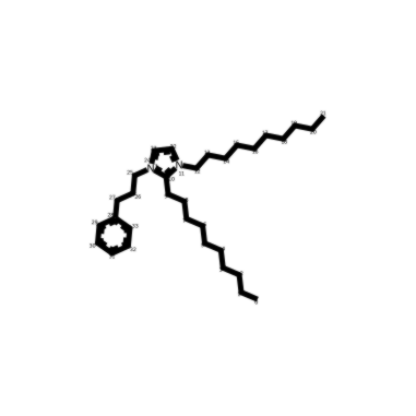 CCCCCCCCCCc1n(CCCCCCCCCC)cc[n+]1CCCc1ccccc1